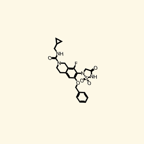 O=C1CN(c2c(OCc3ccccc3)cc3c(c2F)CN(C(=O)NCC2CC2)CC3)S(=O)(=O)N1